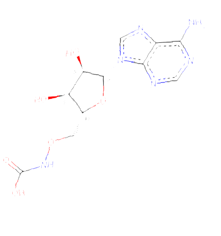 Nc1ncnc2c1ncn2[C@@H]1O[C@H](CONC(=O)O)[C@@H](O)[C@H]1O